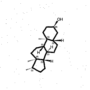 C[C@H]1CC[C@H]2[C@@H]3CC[C@H]4C[C@H](O)CC[C@]4(C)[C@H]3CC[C@]12C